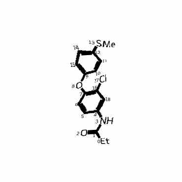 CCC(=O)Nc1ccc(Oc2ccc(SC)cc2)c(Cl)c1